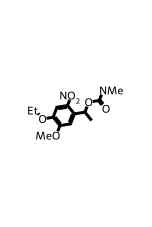 CCOc1cc([N+](=O)[O-])c(C(C)OC(=O)NC)cc1OC